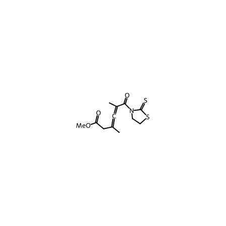 COC(=O)CC(C)=C=C(C)C(=O)N1CCSC1=S